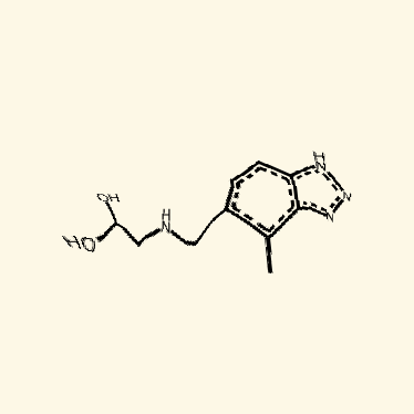 Cc1c(CNCC(O)O)ccc2[nH]nnc12